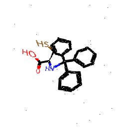 O=C(O)[C@@H](CS)NC(c1ccccc1)(c1ccccc1)c1ccccc1